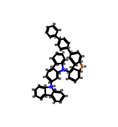 c1ccc(-c2ccc(-c3ccc4sc5cccc(-n6c7ccccc7c7ccc(-n8c9ccccc9c9ccccc98)cc76)c5c4c3)cc2)cc1